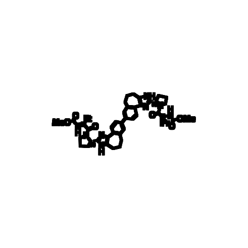 CC[C@H](NC(=O)OC)C(=O)N1CCC[C@H]1c1nc2c([nH]1)CCCc1cc(-c3ccc4c(c3)CCCc3[nH]c([C@@H]5CCCN5C(=O)[C@@H](NC(=O)OC)C(C)C)nc3-4)ccc1-2